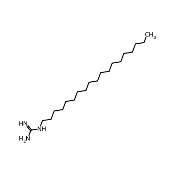 CCCCCCCCCCCCCCCCCCCNC(=N)N